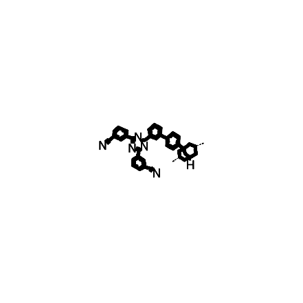 C[C@@H]1C[C@@H]2C[C@H](C)CC(c3ccc(-c4cccc(-c5nc(-c6cccc(C#N)c6)nc(-c6cccc(C#N)c6)n5)c4)cc3)(C1)C2